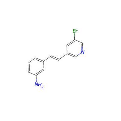 Nc1cccc(C=Cc2cncc(Br)c2)c1